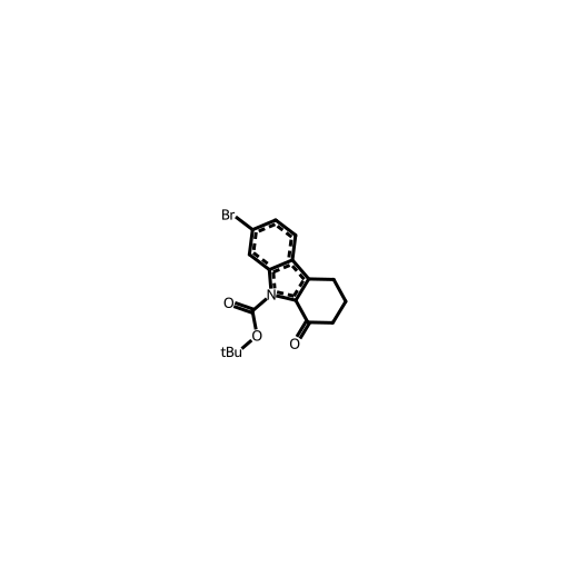 CC(C)(C)OC(=O)n1c2c(c3ccc(Br)cc31)CCCC2=O